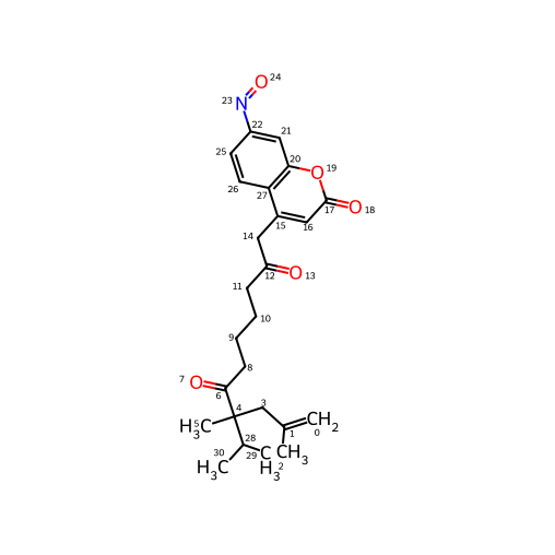 C=C(C)CC(C)(C(=O)CCCCC(=O)Cc1cc(=O)oc2cc(N=O)ccc12)C(C)C